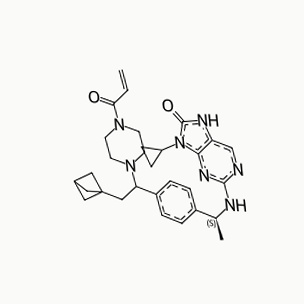 C=CC(=O)N1CCN(C(CC23CC(C2)C3)c2ccc([C@H](C)Nc3ncc4[nH]c(=O)n(C5CC5)c4n3)cc2)CC1